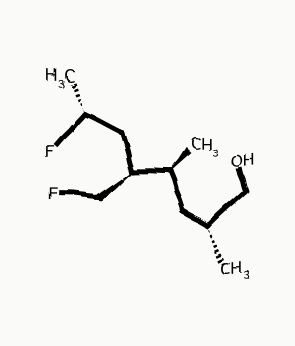 C[C@@H](CO)C[C@H](C)[C@@H](CF)C[C@@H](C)F